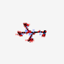 CC(=O)NC1C(OCCOCCNC(=O)C(CCC(=O)NCCOCCOC2OC(CO)C(O)C(O)C2NC(C)=O)NC(=O)CCC(NC(=O)CCCCCCC(=O)NCCCc2cn(CC(CO)OC(C)(C)C)c3ccccc23)C(=O)NCCOCCOC2OC(CO)C(O)C(O)C2NC(C)=O)OC(CO)C(=O)C1O